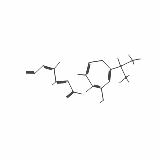 C=C/C=C(C)\C(F)=C\C(=C)NC1=C(CC)C=C(C(F)(C(F)(F)F)C(F)(F)Cl)CC=C1Br